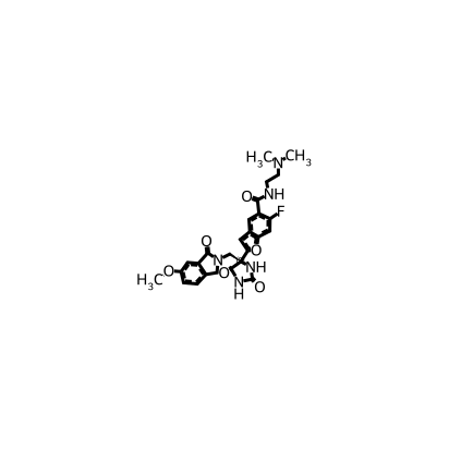 COc1ccc2c(c1)C(=O)N(C[C@@]1(c3cc4cc(C(=O)NCCN(C)C)c(F)cc4o3)NC(=O)NC1=O)C2